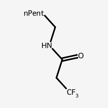 CCCCCCNC(=O)CC(F)(F)F